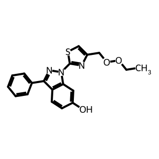 CCOOCc1csc(-n2nc(-c3ccccc3)c3ccc(O)cc32)n1